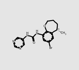 C[C@H]1CCCOc2c(NC(=O)Nc3cncnc3)cc(Br)cc21